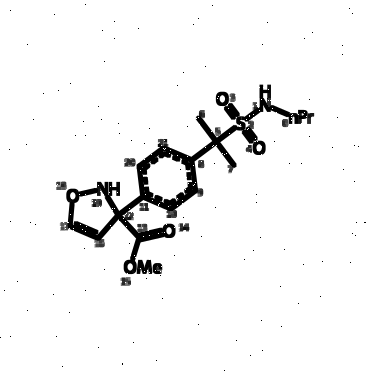 CCCNS(=O)(=O)C(C)(C)c1ccc(C2(C(=O)OC)C=CON2)cc1